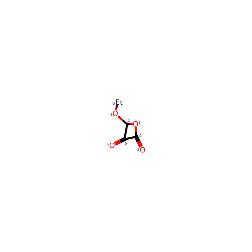 CCO[C]1OC(=O)C1=O